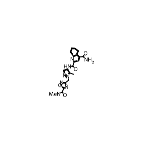 CNC(=O)c1nc(Cn2ncc(NC(=O)c3cc(C(N)=O)c4ccccc4n3)c2C)no1